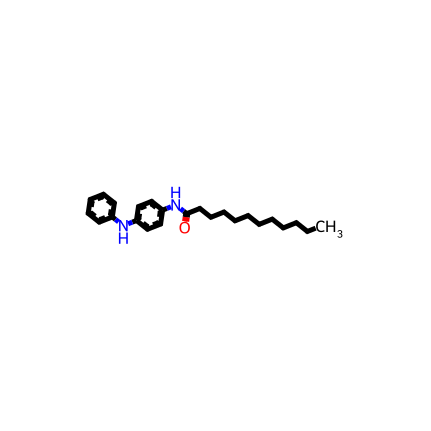 CCCCCCCCCCCC(=O)Nc1ccc(Nc2ccccc2)cc1